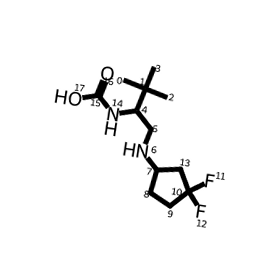 CC(C)(C)C(CNC1CCC(F)(F)C1)NC(=O)O